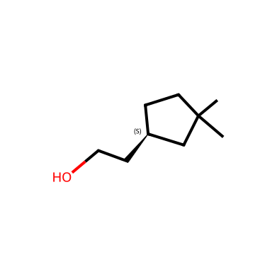 CC1(C)CC[C@H](CCO)C1